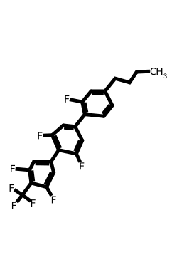 CCCCc1ccc(-c2cc(F)c(-c3cc(F)c(C(F)(F)F)c(F)c3)c(F)c2)c(F)c1